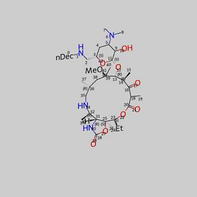 CCCCCCCCCCNC[C@@H]1CC(N(C)C)C(O)[C@H](O[C@@H]2[C@@H](C)C(=O)C(C)C(=O)O[C@@H](CC)[C@@]3(C)OC(=O)N[C@@H]3[C@@H](C)NC[C@H](C)C[C@@]2(C)OC)O1